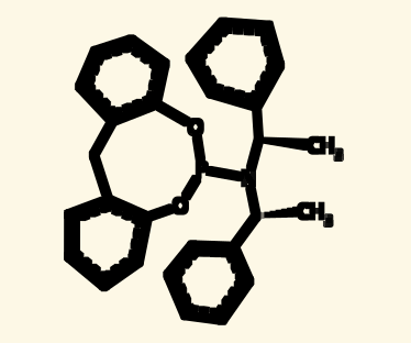 C[C@H](c1ccccc1)N([C@H](C)c1ccccc1)P1Oc2ccccc2Cc2ccccc2O1